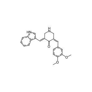 COc1ccc(C=C2CNCC(=Cc3c[nH]c4ccccc34)C2=O)cc1OC